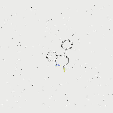 S=C1CC=C(c2ccccc2)c2ccccc2N1